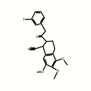 COc1cc2c(c(OC)c1OC)CCC(C(=O)Cc1cccc(F)c1)C2C#N